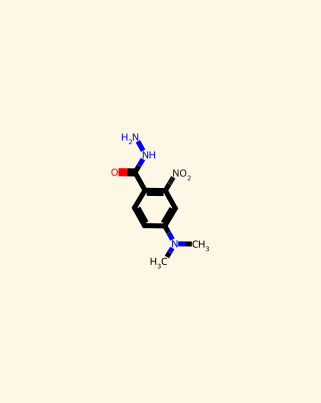 CN(C)c1ccc(C(=O)NN)c([N+](=O)[O-])c1